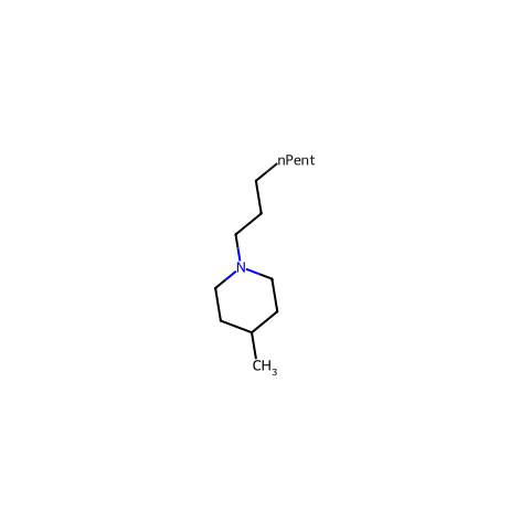 CCCCCCCCN1CCC(C)CC1